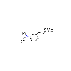 CSCCc1cccc(N(C)C(C)C)c1